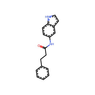 O=C(CCc1ccccc1)Nc1ccc2[nH]ccc2c1